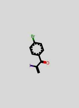 C=C(I)C(=O)c1ccc(Br)cc1